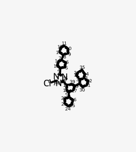 Clc1nc(-c2ccc(-c3ccccc3)cc2)nc(-c2cc(-c3ccccc3)cc(-c3cccc4ccccc34)c2)n1